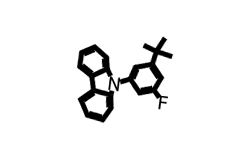 CC(C)(C)c1cc(F)cc(-n2c3ccccc3c3ccccc32)c1